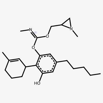 CCCCCc1cc(O)c(C2C=C(C)CCC2)c(O/C(=N\C)OCC2CN2C)c1